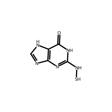 O=c1[nH]c(NS)nc2nc[nH]c12